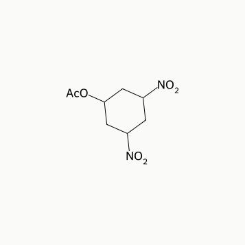 CC(=O)OC1CC([N+](=O)[O-])CC([N+](=O)[O-])C1